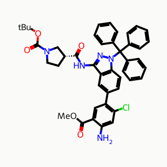 COC(=O)c1cc(-c2ccc3c(c2)c(NC(=O)[C@@H]2CCN(C(=O)OC(C)(C)C)C2)nn3C(c2ccccc2)(c2ccccc2)c2ccccc2)c(Cl)cc1N